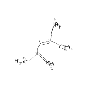 CC(=N)/C=C(\C)C(C)C